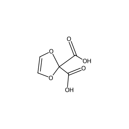 O=C(O)C1(C(=O)O)OC=CO1